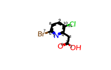 O=C(O)Cc1nc(Br)ccc1Cl